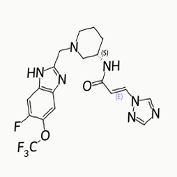 O=C(/C=C/n1cncn1)N[C@H]1CCCN(Cc2nc3cc(OC(F)(F)F)c(F)cc3[nH]2)C1